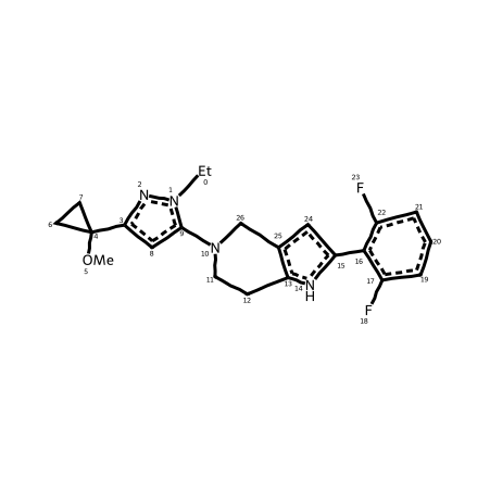 CCn1nc(C2(OC)CC2)cc1N1CCc2[nH]c(-c3c(F)cccc3F)cc2C1